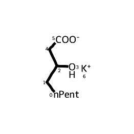 CCCCCCC(O)CC(=O)[O-].[K+]